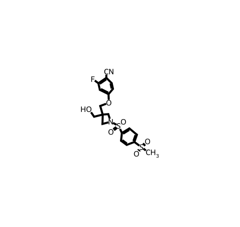 CS(=O)(=O)c1ccc(S(=O)(=O)N2CC(CO)(COc3ccc(C#N)c(F)c3)C2)cc1